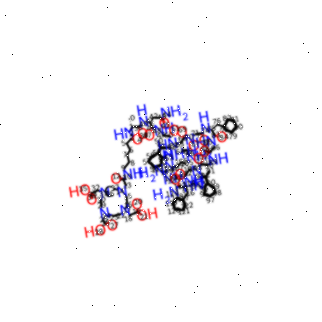 C[C@@H](NC(=O)CCCCCNC(=O)CN1CCN(CC(=O)O)CCN(CC(=O)O)CCN(CC(=O)O)CC1)C(=O)N[C@@H](CC(N)=O)C(=O)N[C@@H](Cc1c[nH]c2ccccc12)C(=O)N[C@@H](CC(N)=O)C(=O)NCC(=O)N[C@@H](Cc1ccccc1)C(=O)NCC(=O)N[C@H](Cc1c[nH]c2ccccc12)C(=O)N[C@@H](CCCNC(=N)N)C(=O)N[C@@H](Cc1ccccc1)C(N)=O